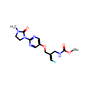 CN1CCN(c2ncc(OC/C(=C/F)CNC(=O)OC(C)(C)C)cn2)C1=O